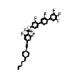 CCCCCC1CCC(C#Cc2cc(F)c(C(F)(F)Oc3ccc(-c4ccc(-c5cc(F)c(F)c(F)c5)c(F)c4)c(F)c3)c(F)c2)CC1